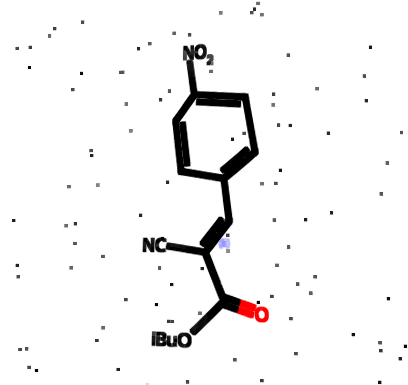 CC(C)COC(=O)/C(C#N)=C/c1ccc([N+](=O)[O-])cc1